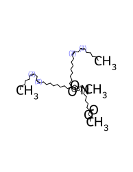 CCCCC/C=C\C/C=C\CCCCCCCCC1(CCCCCCCC/C=C\C/C=C\CCCCC)OC[C@H](CN(C)CCCCCC(=O)OCC)O1